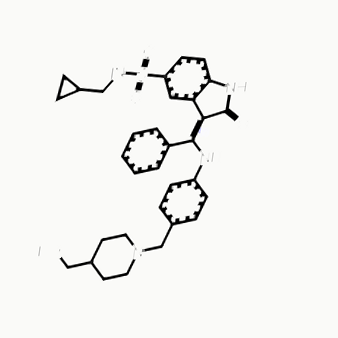 O=C1Nc2ccc(S(=O)(=O)NCC3CC3)cc2/C1=C(/Nc1ccc(CN2CCC(CO)CC2)cc1)c1ccccc1